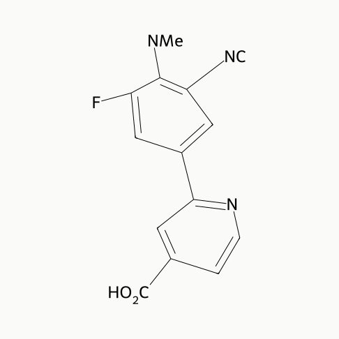 [C-]#[N+]c1cc(-c2cc(C(=O)O)ccn2)cc(F)c1NC